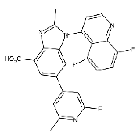 Cc1cc(-c2cc(C(=O)O)c3nc(C)n(-c4ccnc5c(F)ccc(F)c45)c3c2)cc(F)n1